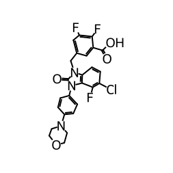 O=C(O)c1cc(Cn2c(=O)n(-c3ccc(N4CCOCC4)cc3)c3c(F)c(Cl)ccc32)cc(F)c1F